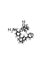 Cc1cc(-c2ncnn3cc(C4=CCOCC4)cc23)ccc1CN.O=C(O)C(F)(F)F